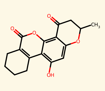 CC1CC(=O)c2c(cc(O)c3c4c(c(=O)oc23)CCCC4)O1